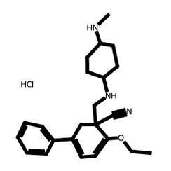 CCOC1=CC=C(c2ccccc2)CC1(C#N)CNC1CCC(NC)CC1.Cl